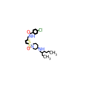 CCCCC(CC)CNC1CCCN([S+]([O-])c2ccc(CNC(=O)c3ccc(Cl)cc3)s2)CC1